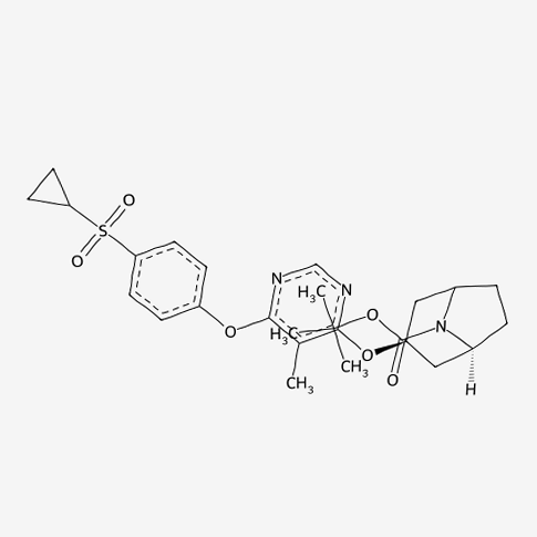 Cc1c(Oc2ccc(S(=O)(=O)C3CC3)cc2)ncnc1O[C@H]1CC2CC[C@@H](C1)N2C(=O)OC(C)(C)C